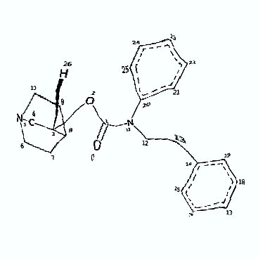 O=C(O[C@H]1CN2CCC1CC2)N(CCc1ccccc1)c1ccccc1